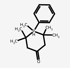 CC1(C)CC(=O)CC(C)(C)[PH]1(C)c1ccccc1